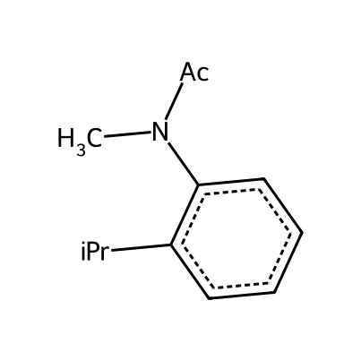 CC(=O)N(C)c1ccccc1C(C)C